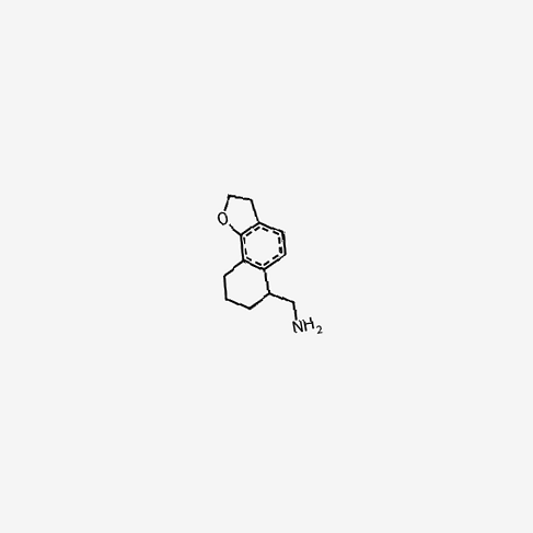 NCC1CCCc2c1ccc1c2OCC1